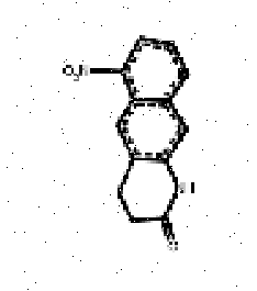 O=C1CCc2cc3c([N+](=O)[O-])cccc3cc2N1